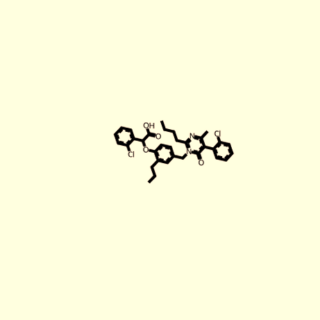 CCCCc1nc(C)c(-c2ccccc2Cl)c(=O)n1Cc1ccc(OC(C(=O)O)c2ccccc2Cl)c(CCC)c1